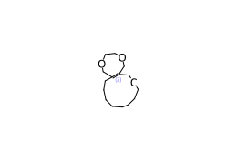 C1CCCCC/C2=C(\CCCC1)COCCOC2